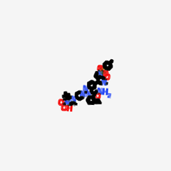 Cc1ccc(S(=O)(=O)n2ccc3c(-c4ccc5nc(N6CCC(N7C[C@@](C)(C(C)(C)C)N(C(=O)O)C[C@@H]7C)CC6)nc(C(CN)(OC6CC6)c6ccccc6)c5c4)cn(C)c(=O)c32)cc1